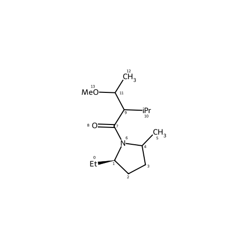 CC[C@@H]1CCC(C)N1C(=O)C(C(C)C)C(C)OC